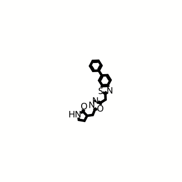 O=C1NCCC1Cc1nnc(Cc2nc3ccc(-c4ccccc4)cc3s2)o1